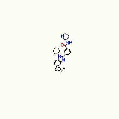 O=C(O)c1ccc2c(c1)nc(-c1cccc(C(=O)Nc3cccnc3)c1)n2C1CCCCC1